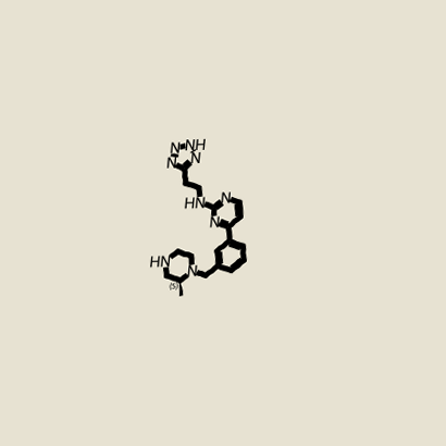 C[C@H]1CNCCN1Cc1cccc(-c2ccnc(NCCc3nn[nH]n3)n2)c1